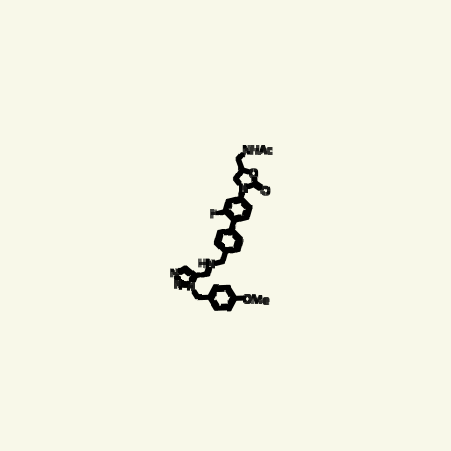 COc1ccc(Cn2nncc2CNCc2ccc(-c3ccc(N4CC(CNC(C)=O)OC4=O)cc3F)cc2)cc1